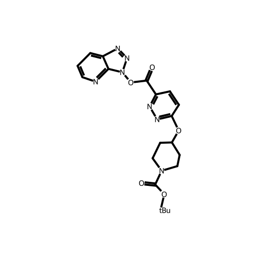 CC(C)(C)OC(=O)N1CCC(Oc2ccc(C(=O)On3nnc4cccnc43)nn2)CC1